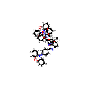 CC1C/C=C(c2ccc(N3c4ccccc4Oc4ccccc43)cc2)/N=C(C2=CCC(N3c4ccccc4Oc4ccccc43)C=C2)\N=C/1c1ccc(N2c3ccccc3Oc3ccccc32)cc1